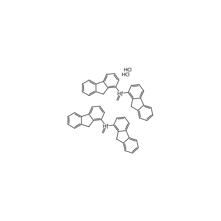 Cl.Cl.[CH2]=[Hf]([c]1cccc2c1Cc1ccccc1-2)[c]1cccc2c1Cc1ccccc1-2.[CH2]=[Hf]([c]1cccc2c1Cc1ccccc1-2)[c]1cccc2c1Cc1ccccc1-2